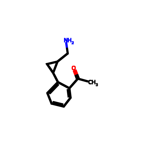 CC(=O)c1ccccc1C1CC1CN